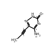 CC#Cc1n[nH]c(=O)nc1N